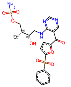 CC[C@H](COS(N)(=O)=O)[C@@H](O)CNc1ncncc1C(=O)c1ccc(S(=O)(=O)c2ccccc2)o1